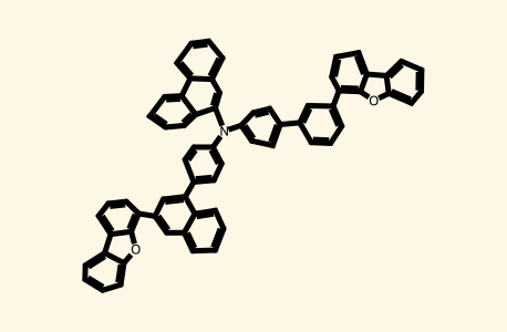 c1cc(-c2ccc(N(c3ccc(-c4cc(-c5cccc6c5oc5ccccc56)cc5ccccc45)cc3)c3cc4ccccc4c4ccccc34)cc2)cc(-c2cccc3c2oc2ccccc23)c1